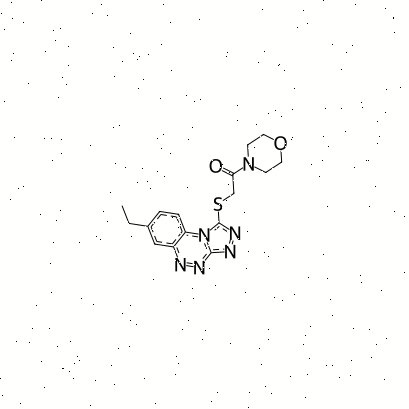 CCc1ccc2c(c1)nnc1nnc(SCC(=O)N3CCOCC3)n12